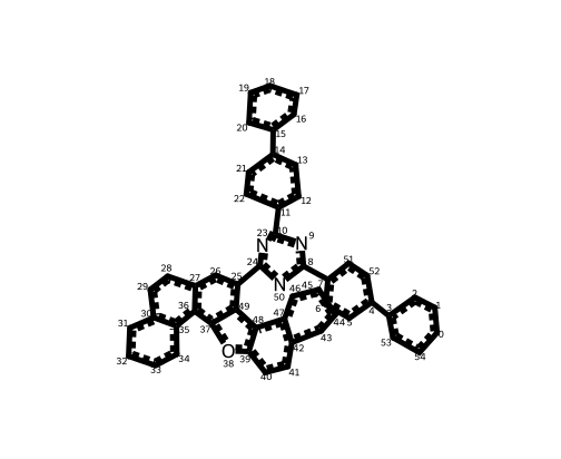 c1ccc(-c2ccc(-c3nc(-c4ccc(-c5ccccc5)cc4)nc(-c4cc5ccc6ccccc6c5c5oc6ccc7ccccc7c6c45)n3)cc2)cc1